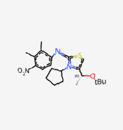 Cc1c(N=c2scc([C@@H](C)OC(C)(C)C)n2C2CCCC2)ccc([N+](=O)[O-])c1C